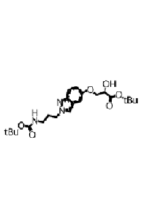 CC(C)(C)OC(=O)NCCCn1cc2cc(OC[C@@H](O)C(=O)OC(C)(C)C)ccc2n1